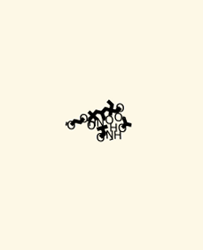 CCC(C)(CC(CC(C)(C)C(=O)OCCOC)C(=O)NC(C)(C)C(=O)NC)C(=O)OCC(C)O